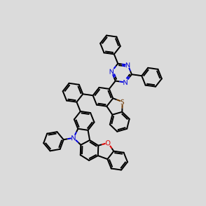 c1ccc(-c2nc(-c3ccccc3)nc(-c3cc(-c4ccccc4-c4ccc5c6c7oc8ccccc8c7ccc6n(-c6ccccc6)c5c4)cc4c3sc3ccccc34)n2)cc1